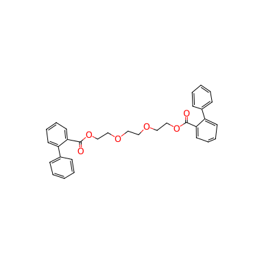 O=C(OCCOCCOCCOC(=O)c1ccccc1-c1ccccc1)c1ccccc1-c1ccccc1